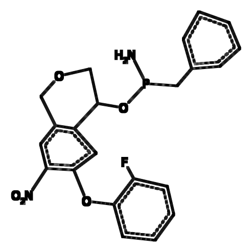 NP(Cc1ccccc1)OC1COCc2cc([N+](=O)[O-])c(Oc3ccccc3F)cc21